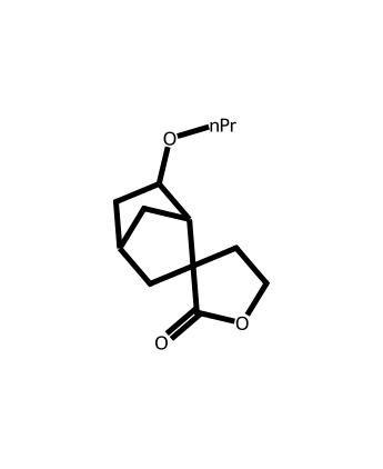 CCCOC1CC2CC1C1(CCOC1=O)C2